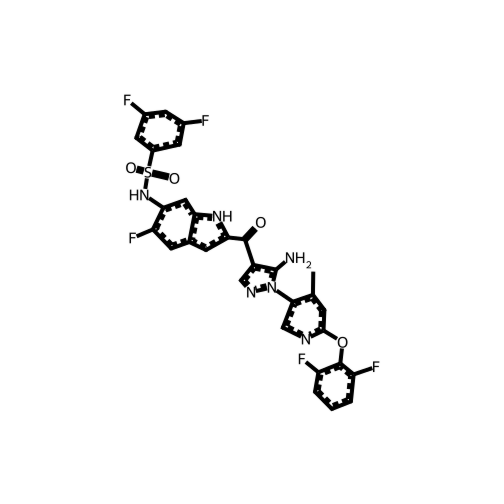 Cc1cc(Oc2c(F)cccc2F)ncc1-n1ncc(C(=O)c2cc3cc(F)c(NS(=O)(=O)c4cc(F)cc(F)c4)cc3[nH]2)c1N